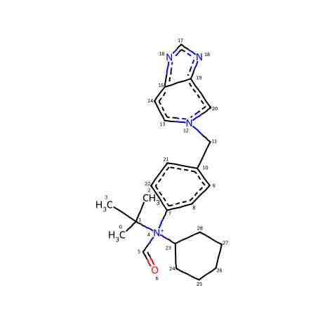 CC(C)(C)[N+](C=O)(c1ccc(Cn2ccc3ncnc-3c2)cc1)C1CCCCC1